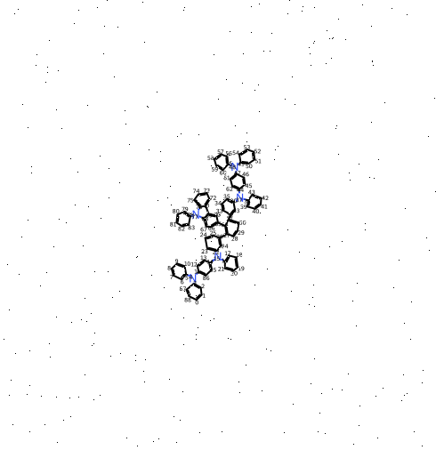 c1ccc(N(c2ccccc2)c2ccc(N(c3ccccc3)c3cccc(-c4cccc(-c5cccc(N(c6ccccc6)c6ccc(N(c7ccccc7)c7ccccc7)cc6)c5)c4-c4ccc5c(c4)c4ccccc4n5-c4ccccc4)c3)cc2)cc1